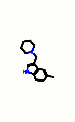 Cc1ccc2[nH]cc(CN3CCCCC3)c2c1